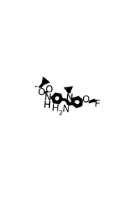 C[C@@H](OC(=O)Nc1ccc(-c2c(N)c3ccc(OCCF)cc3n2C2CC2)cc1)C1CC1